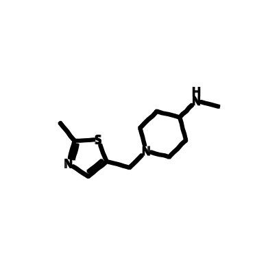 CNC1CCN(Cc2cnc(C)s2)CC1